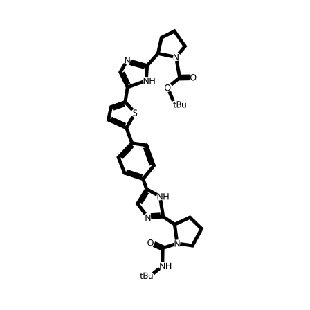 CC(C)(C)NC(=O)N1CCCC1c1ncc(-c2ccc(-c3ccc(-c4cnc(C5CCCN5C(=O)OC(C)(C)C)[nH]4)s3)cc2)[nH]1